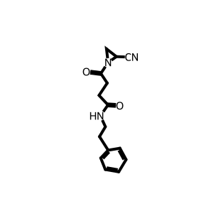 N#CC1CN1C(=O)CCC(=O)NCCc1ccccc1